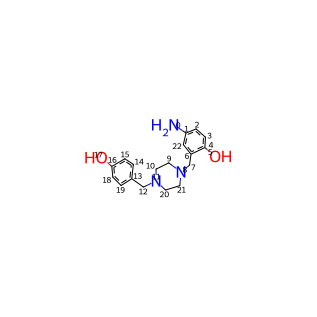 Nc1ccc(O)c(CN2CCN(Cc3ccc(O)cc3)CC2)c1